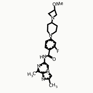 COC1CN(C2CCN(c3ccc(C(=O)Nc4cn5cc(C)nc5c(C)n4)c(F)c3)CC2)C1